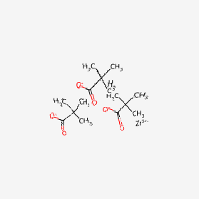 CC(C)(C)C(=O)[O-].CC(C)(C)C(=O)[O-].CC(C)(C)C(=O)[O-].[Zr+3]